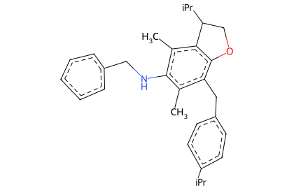 Cc1c(Cc2ccc(C(C)C)cc2)c2c(c(C)c1NCc1ccccc1)C(C(C)C)CO2